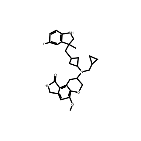 COc1cc2c(c3c1OCC(N(CC1CC1)C1CC(CC4(C)CNc5ccc(F)cc54)C1)C3)C(=O)NC2